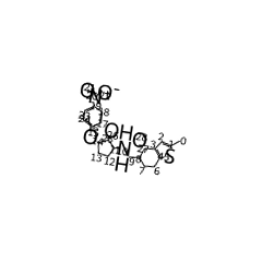 Cc1cc2c(s1)CCC(CNC1CCC(Oc3ccc([N+](=O)[O-])cc3)C1O)C2=O